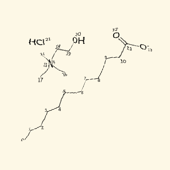 CCCCCCCCCCCC(=O)[O-].C[N+](C)(C)CCO.Cl